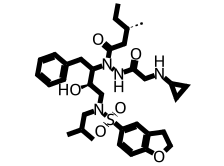 CC[C@H](C)CC(=O)N(NC(=O)CNC1CC1)C(Cc1ccccc1)[C@H](O)CN(CC(C)C)S(=O)(=O)c1ccc2c(c1)CCO2